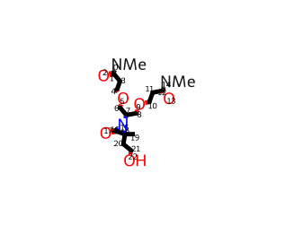 CNC(=O)CCOCC(COCCC(=O)NC)N1C(=O)C1(C)CCO